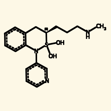 CNCCC[C@@H]1Cc2ccccc2N(c2cccnc2)S1(O)O